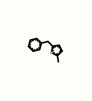 Cc1[c]cc(Cc2ccccc2)o1